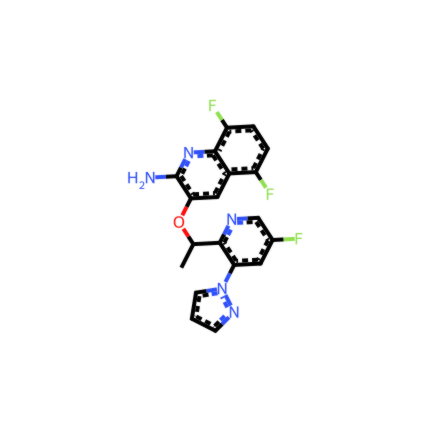 CC(Oc1cc2c(F)ccc(F)c2nc1N)c1ncc(F)cc1-n1cccn1